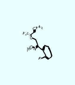 C=C[C@H](OCC(=NO)c1ccccc1F)C(F)(F)F